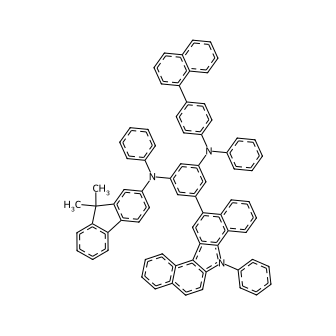 CC1(C)c2ccccc2-c2ccc(N(c3ccccc3)c3cc(-c4cc5c6c7ccccc7ccc6n(-c6ccccc6)c5c5ccccc45)cc(N(c4ccccc4)c4ccc(-c5cccc6ccccc56)cc4)c3)cc21